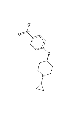 O=[N+]([O-])c1ccc(OC2CCN(C3CC3)CC2)cc1